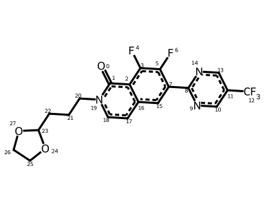 O=c1c2c(F)c(F)c(-c3ncc(C(F)(F)F)cn3)cc2ccn1CCCC1OCCO1